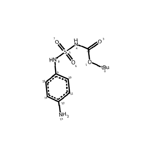 CC(C)(C)OC(=O)NS(=O)(=O)Nc1ccc(N)cc1